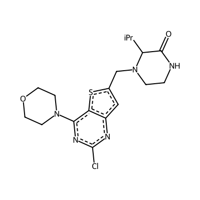 CC(C)C1C(=O)NCCN1Cc1cc2nc(Cl)nc(N3CCOCC3)c2s1